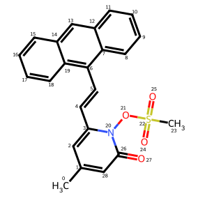 Cc1cc(C=Cc2c3ccccc3cc3ccccc23)n(OS(C)(=O)=O)c(=O)c1